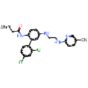 CNCC(=O)Nc1ccc(NCCNc2ccc(C#N)cn2)cc1-c1ccc(Cl)cc1Cl